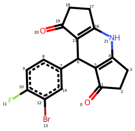 O=C1CCC2=C1C(c1ccc(F)c(Br)c1)C1=C(CCC1=O)N2